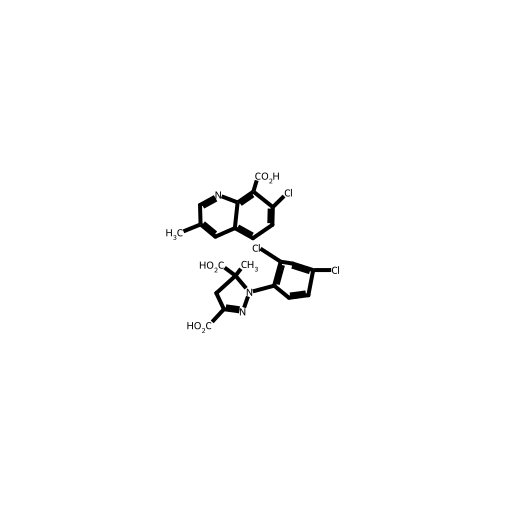 CC1(C(=O)O)CC(C(=O)O)=NN1c1ccc(Cl)cc1Cl.Cc1cnc2c(C(=O)O)c(Cl)ccc2c1